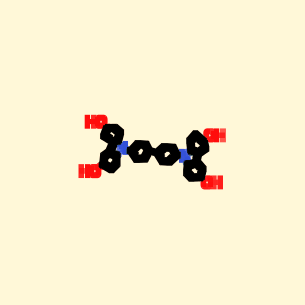 Oc1ccc2c(c1)c1cc(O)ccc1n2-c1ccc(-c2ccc(-n3c4ccc(O)cc4c4cc(O)ccc43)cc2)cc1